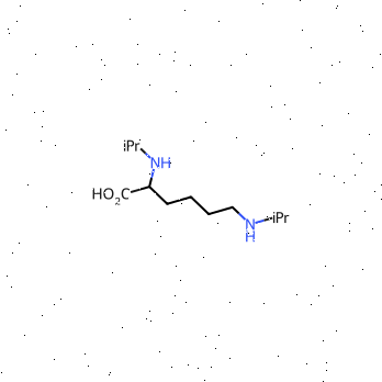 CC(C)NCCCCC(NC(C)C)C(=O)O